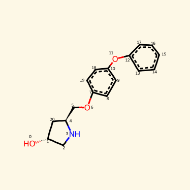 O[C@H]1CN[C@H](COc2ccc(Oc3ccccc3)cc2)C1